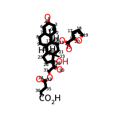 C[C@]12C=CC(=O)C=C1CC[C@@H]1[C@@H]2[C@H](OC(=O)c2ccco2)C[C@@]2(C)[C@H]1CC[C@]2(O)C(=O)COC(=O)CCC(=O)O